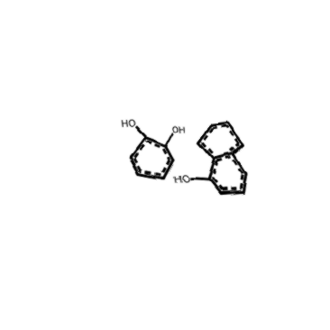 Oc1cccc2ccccc12.Oc1ccccc1O